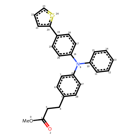 COC(=O)CCc1ccc(N(c2ccccc2)c2ccc(-c3cccs3)cc2)cc1